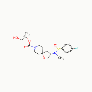 CN(C1COC2(CCN(C(=O)O[C@H](CO)C(F)(F)F)CC2)C1)[S+]([O-])c1ccc(F)cc1